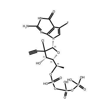 C#CC1(Cl)[C@@H](O)[C@@H]([C@@H](C)OP(=O)(O)OP(=O)(O)OP(=O)(O)O)O[C@H]1n1cc(F)c2c(=O)[nH]c(N)nc21